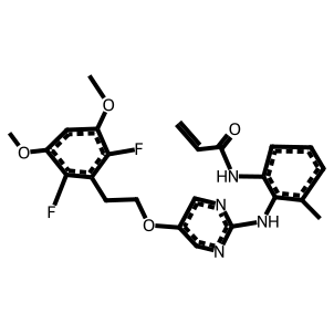 C=CC(=O)Nc1cccc(C)c1Nc1ncc(OCCc2c(F)c(OC)cc(OC)c2F)cn1